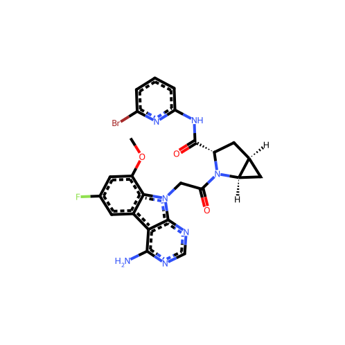 COc1cc(F)cc2c3c(N)ncnc3n(CC(=O)N3[C@@H]4C[C@@H]4C[C@H]3C(=O)Nc3cccc(Br)n3)c12